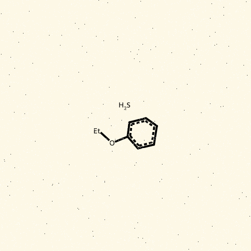 CCOc1ccccc1.S